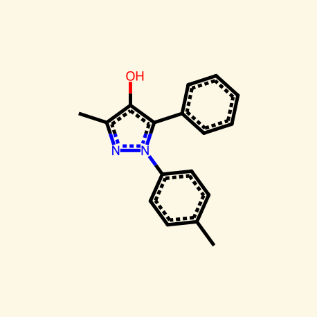 Cc1ccc(-n2nc(C)c(O)c2-c2ccccc2)cc1